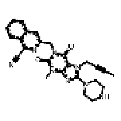 CC#CCn1c(N2CCNCC2)nc2c1c(=O)n(Cc1cc3ccccc3c(C#N)n1)c(=O)n2C